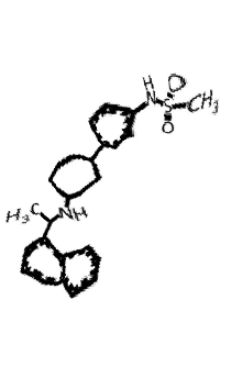 CC(NC1CCC(c2ccc(NS(C)(=O)=O)cc2)C1)c1cccc2ccccc12